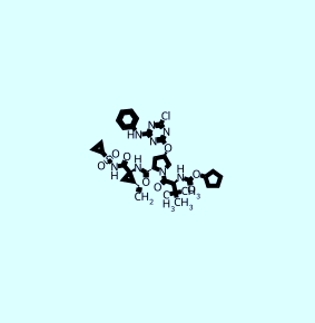 C=C[C@@H]1C[C@]1(NC(=O)[C@@H]1C[C@@H](Oc2nc(Cl)nc(Nc3ccccc3)n2)CN1C(=O)[C@@H](NC(=O)OC1CCCC1)C(C)(C)C)C(=O)NS(=O)(=O)C1CC1